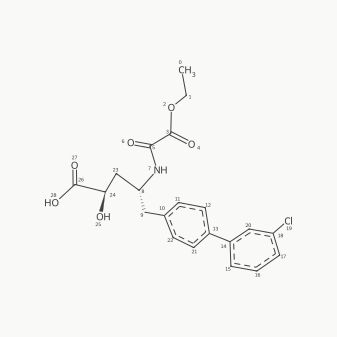 CCOC(=O)C(=O)N[C@H](Cc1ccc(-c2cccc(Cl)c2)cc1)C[C@@H](O)C(=O)O